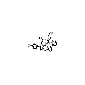 O=C(Nc1ncccc1-n1cnc(Cn2nc(-c3ccc(Cl)cc3)n(CCC(F)(F)F)c2=O)n1)OCC(F)(F)F